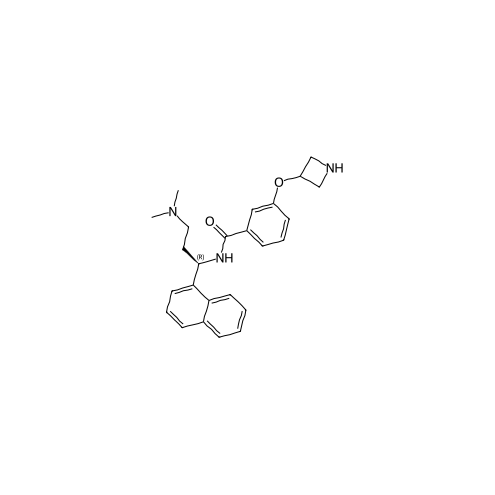 CN(C)CC[C@@H](NC(=O)c1cccc(OC2CNC2)c1)c1cccc2ccccc12